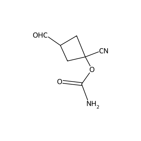 N#CC1(OC(N)=O)CC(C=O)C1